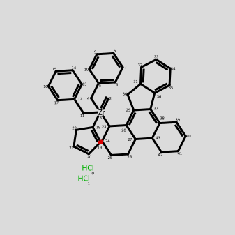 Cl.Cl.[CH2]=[Zr]([CH2]c1ccccc1)([CH2]c1ccccc1)([C]1=CC=CC1)[CH]1CCCC2C1=C1Cc3ccccc3C1=C1C=CCCC12